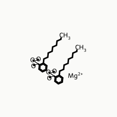 CCCCCCCCCc1ccccc1S(=O)(=O)[O-].CCCCCCCCCc1ccccc1S(=O)(=O)[O-].[Mg+2]